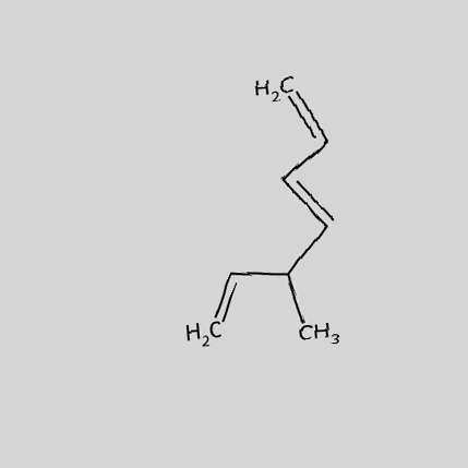 C=CC=CC(C)C=C